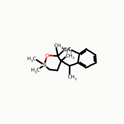 Cc1ccccc1C(C)C1(C)CC[Si](C)(C)OC1(C)C